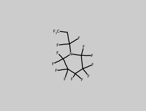 FC(F)(F)CC(F)(F)N1C(F)(F)C(F)(F)C(F)(F)C(F)(F)C1(F)F